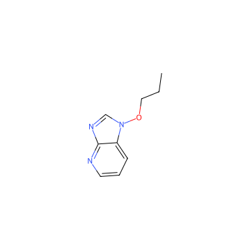 CCCOn1cnc2ncccc21